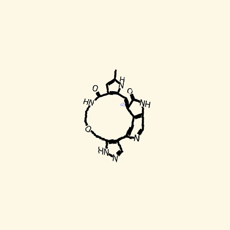 Cc1cc2c([nH]1)/C=C1\C(=O)Nc3cnc(cc31)-c1cn[nH]c1COCCNC2=O